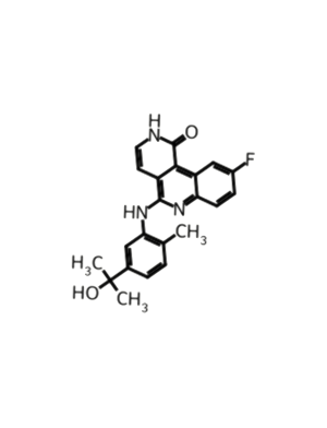 Cc1ccc(C(C)(C)O)cc1Nc1nc2ccc(F)cc2c2c(=O)[nH]ccc12